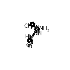 Cc1c(Cl)cccc1-c1cc(NCCNc2ccc([S+](C)[O-])nc2)nc(N)n1